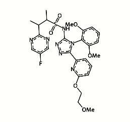 COCCOc1cccc(-c2nnc(NS(=O)(=O)C(C)C(C)c3ncc(F)cn3)n2-c2c(OC)cccc2OC)n1